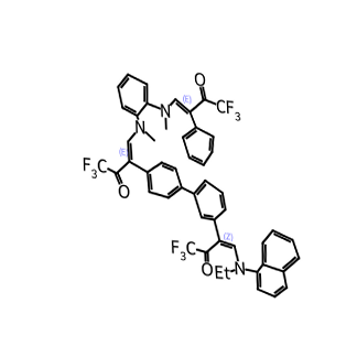 CCN(/C=C(\C(=O)C(F)(F)F)c1cccc(-c2ccc(/C(=C\N(C)c3ccccc3N(C)/C=C(/C(=O)C(F)(F)F)c3ccccc3)C(=O)C(F)(F)F)cc2)c1)c1cccc2ccccc12